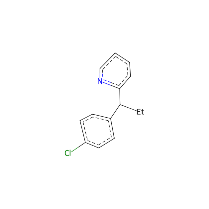 CCC(c1ccc(Cl)cc1)c1ccccn1